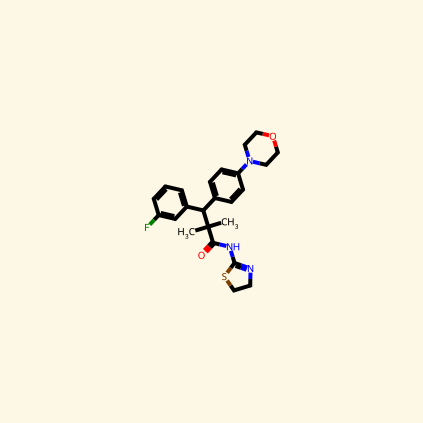 CC(C)(C(=O)NC1=NCCS1)C(c1ccc(N2CCOCC2)cc1)c1cccc(F)c1